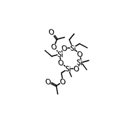 CC[Si]1(CC)O[Si](C)(C)O[Si](C)(COC(C)=O)O[Si](CC)(OC(C)=O)O1